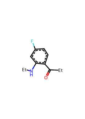 CCNc1cc(F)ccc1C(=O)CC